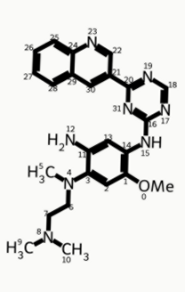 COc1cc(N(C)CCN(C)C)c(N)cc1Nc1ncnc(-c2cnc3ccccc3c2)n1